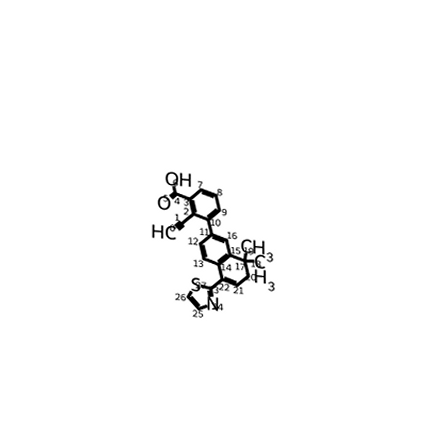 C#Cc1c(C(=O)O)cccc1-c1ccc2c(c1)C(C)(C)CC=C2c1nccs1